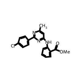 COC(=O)c1ccccc1Nc1cc(C)nc(-c2ccc(Cl)cc2)n1